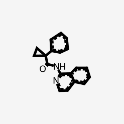 O=C(Nc1nccc2ccccc12)C1(c2ccccc2)CC1